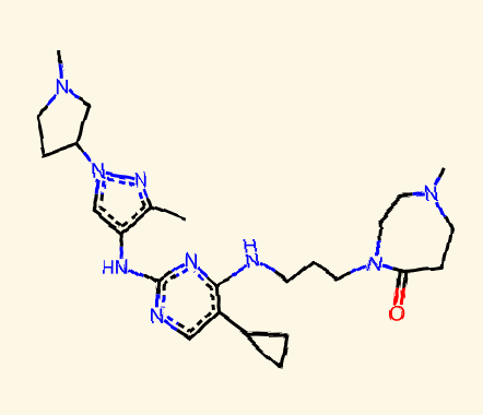 Cc1nn(C2CCN(C)C2)cc1Nc1ncc(C2CC2)c(NCCCN2CCN(C)CCC2=O)n1